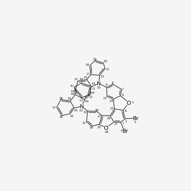 Brc1c(Br)c2oc3ccc(-n4c5ccccc5c5ccccc54)cc3c2c2c1oc1ccc(-n3c4ccccc4c4ccccc43)cc12